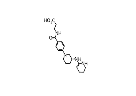 O=C(O)CCNC(=O)c1ccc(N2CCC[C@H](NC3=NCCCN3)C2)cc1